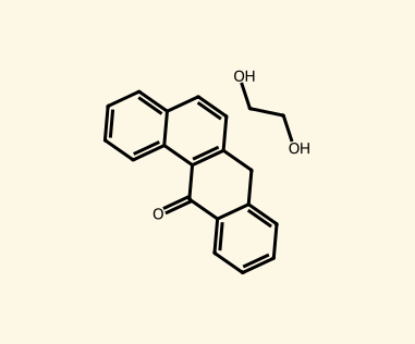 O=C1c2ccccc2Cc2ccc3ccccc3c21.OCCO